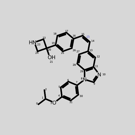 CC(C)Oc1ccc(-n2cnc3cc(/C=C\c4ccc(C5(O)CNC5)cc4)ccc32)cc1